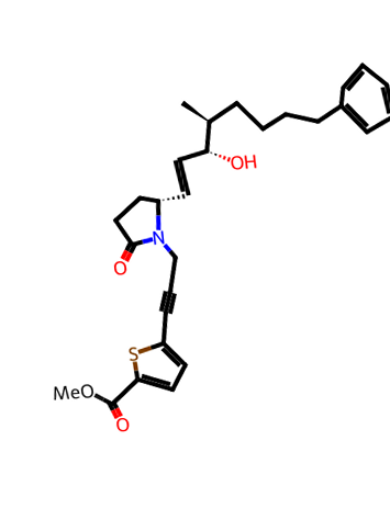 COC(=O)c1ccc(C#CCN2C(=O)CC[C@@H]2C=C[C@@H](O)[C@@H](C)CCCCc2ccccc2)s1